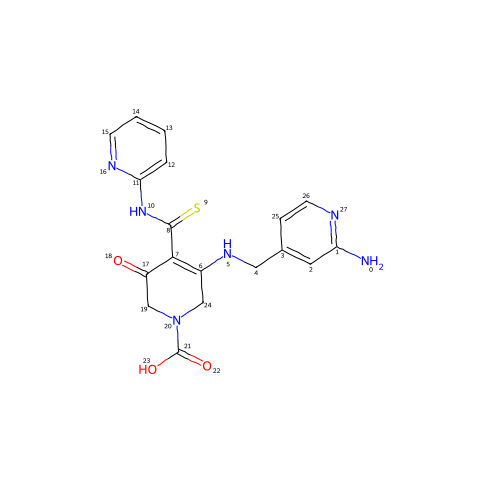 Nc1cc(CNC2=C(C(=S)Nc3ccccn3)C(=O)CN(C(=O)O)C2)ccn1